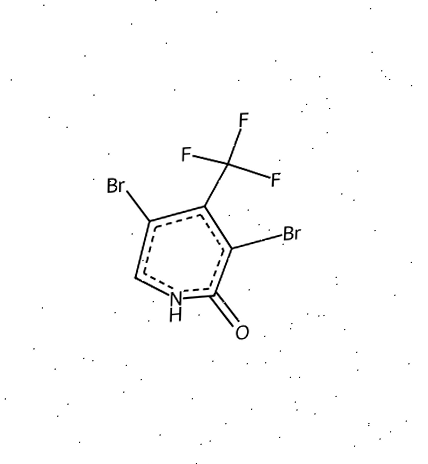 O=c1[nH]cc(Br)c(C(F)(F)F)c1Br